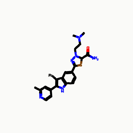 Cc1cc(-c2[nH]c3ccc(C4=NN(CCN(C)C)C(C(N)=O)S4)cc3c2C(C)C)ccn1